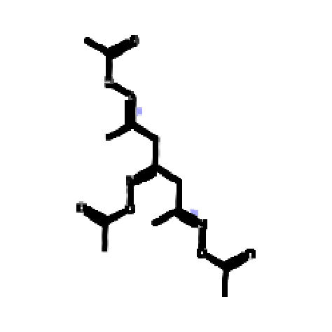 CC(=O)ON=C(C/C(C)=N/OC(C)=O)C/C(C)=N/OC(C)=O